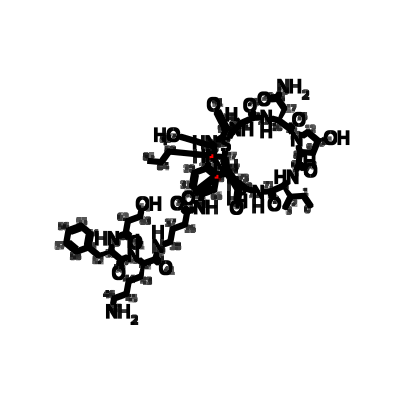 CCC(C)[C@@H]1NC(=O)[C@@H]2C[C@@H](O)CN2C(=O)[C@H](CC(N)=O)NC(=O)[C@@H]2CSc3[nH]c4ccc(NC(=O)CCCNC(=O)[C@@H](CCCCN)NC(=O)[C@@H](Cc5ccccc5)NC(=O)CCO)cc4c3C[C@H](NC1=O)C(=O)NCC(=O)NC[C@@H]([C@@H](C)CC)C(O)NCC(=O)N2